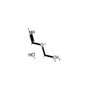 CCOC=N.Cl